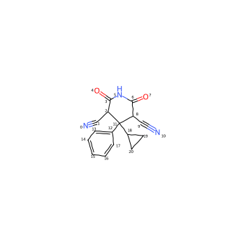 N#CC1C(=O)NC(=O)C(C#N)C1(c1ccccc1)C1CC1